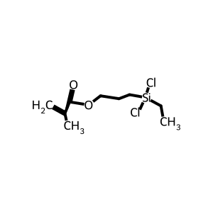 C=C(C)C(=O)OCCC[Si](Cl)(Cl)CC